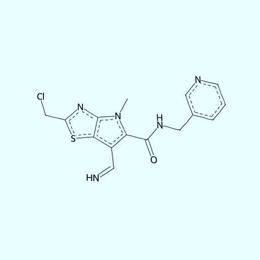 Cn1c(C(=O)NCc2cccnc2)c(C=N)c2sc(CCl)nc21